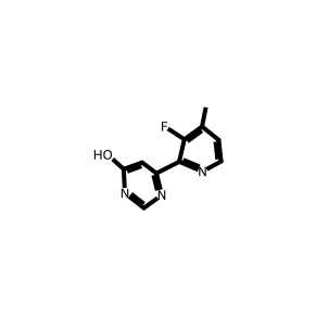 Cc1ccnc(-c2cc(O)ncn2)c1F